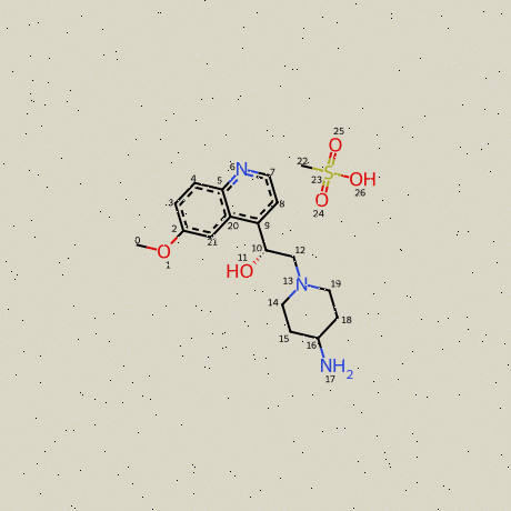 COc1ccc2nccc([C@@H](O)CN3CCC(N)CC3)c2c1.CS(=O)(=O)O